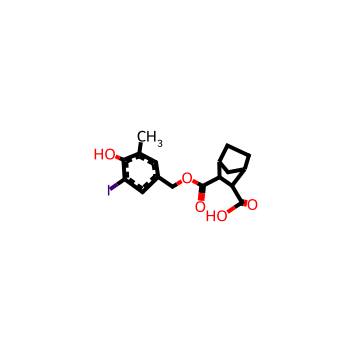 Cc1cc(COC(=O)C2C3CCC(C3)C2C(=O)O)cc(I)c1O